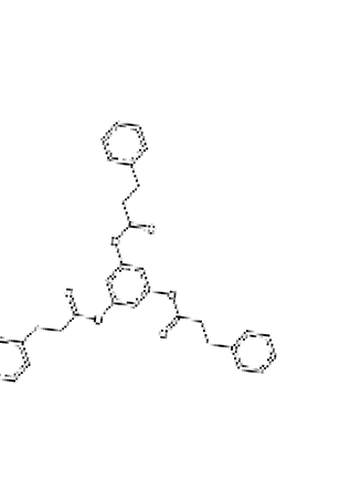 O=C(CCc1ccccc1)Oc1cc(OC(=O)CCc2ccccc2)cc(OC(=O)CCc2ccccc2)c1